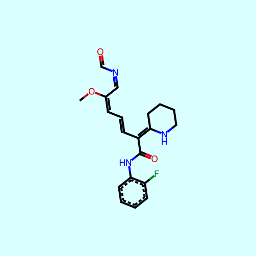 COC(/C=N\C=O)=C/C=C/C(C(=O)Nc1ccccc1F)=C1\CCCCN1